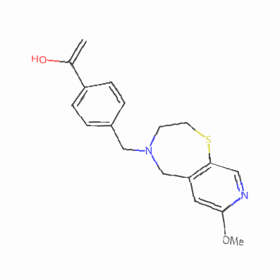 C=C(O)c1ccc(CN2CCSc3cnc(OC)cc3C2)cc1